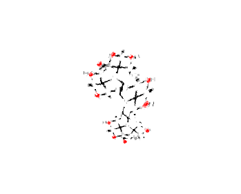 O=P(O)(O)C(N(CCN(C(P(=O)(O)O)(P(=O)(O)O)P(=O)(O)O)C(P(=O)(O)O)(P(=O)(O)O)P(=O)(O)O)CCN(C(P(=O)(O)O)(P(=O)(O)O)P(=O)(O)O)C(P(=O)(O)O)(P(=O)(O)O)P(=O)(O)O)(P(=O)(O)O)P(=O)(O)O